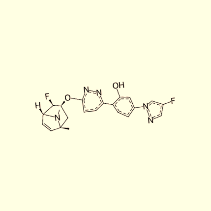 CN1[C@@H]2C=C[C@@]1(C)C[C@H](Oc1ccc(-c3ccc(-n4cc(F)cn4)cc3O)nn1)[C@@H]2F